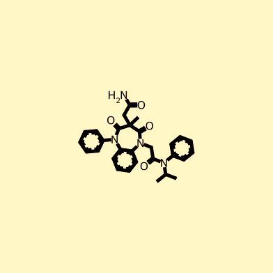 CC(C)N(C(=O)CN1C(=O)C(C)(CC(N)=O)C(=O)N(c2ccccc2)c2ccccc21)c1ccccc1